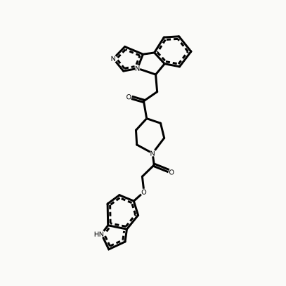 O=C(CC1c2ccccc2-c2cncn21)C1CCN(C(=O)COc2ccc3[nH]ccc3c2)CC1